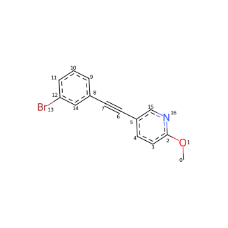 COc1ccc(C#Cc2cccc(Br)c2)cn1